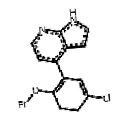 CCOC1=C(c2ccnc3[nH]ccc23)C=C(Cl)CC1